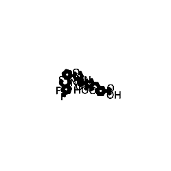 O=C(O)c1cccc(Cc2c[nH]c(C(=O)N3CCOC[C@H]3N[C@H]3c4ccccc4SCc4c3ccc(F)c4F)c(O)c2=O)c1